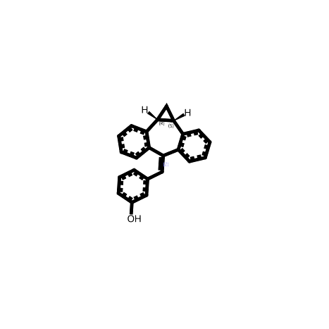 Oc1cccc(/C=C2/c3ccccc3[C@H]3C[C@H]3c3ccccc32)c1